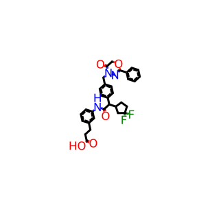 O=C(O)CCc1cccc(NC(=O)C(c2ccc(CN3N=C(c4ccccc4)OCC3=O)cc2)C2CCC(F)(F)C2)c1